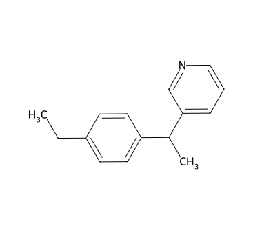 CCc1ccc(C(C)c2cccnc2)cc1